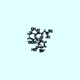 CCN(CC)CC(=O)Nc1c(C)cccc1C.O=C([O-])c1ccccc1O.[Na+]